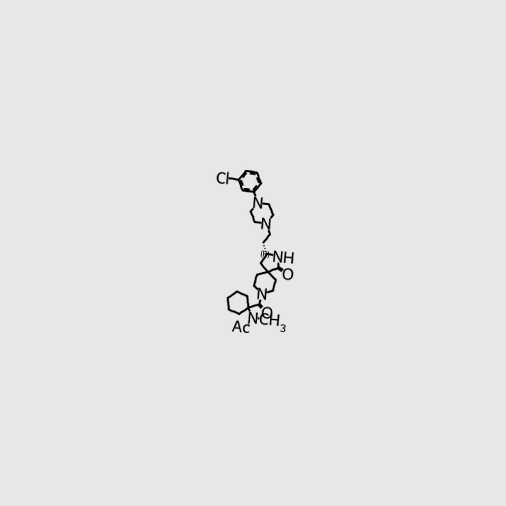 CC(=O)N(C)C1(C(=O)N2CCC3(CC2)C[C@H](CCN2CCN(c4cccc(Cl)c4)CC2)NC3=O)CCCCC1